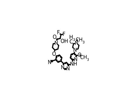 COc1nc(Nc2cc(-c3ccc(OC4CCN(C(=O)[C@@H](O)C(F)F)CC4)c(C#N)c3)ncn2)ccc1N1CCN(C)[C@H](C)C1